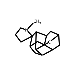 CN1CCCC12C1CC3C4CC5CC3C2C(C5)C4C1